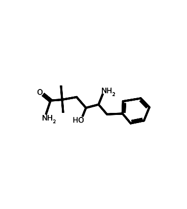 CC(C)(CC(O)C(N)Cc1ccccc1)C(N)=O